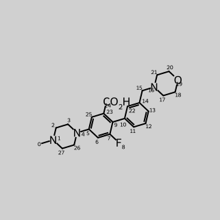 CN1CCN(c2cc(F)c(-c3cccc(CN4CCOCC4)c3)c(C(=O)O)c2)CC1